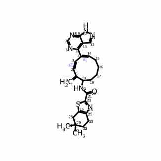 C=C1/C=C\C(c2ncnc3[nH]ncc23)=C/CCCCC1NC(=O)c1nc2c(s1)CC(C)(C)CC2